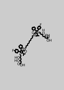 CC(C)c1c(C(=O)NCCCCCCCCCCNC(=O)c2c(-c3ccccc3)c(-c3ccc(F)cc3)n(CC[C@@H](O)C[C@@H](O)CC(=O)O)c2C(C)C)c(-c2ccccc2)c(-c2ccc(F)cc2)n1CCC(O)CC(O)CC(=O)O